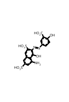 Nc1cc(S(=O)(=O)O)cc2cc(S(=O)(=O)O)c(N=Nc3ccc(O)c(C(=O)O)c3)c(O)c12